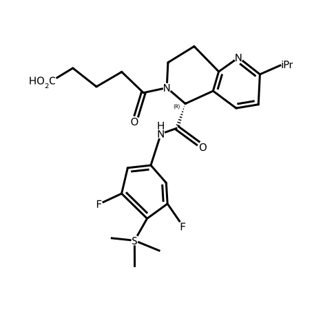 CC(C)c1ccc2c(n1)CCN(C(=O)CCCC(=O)O)[C@H]2C(=O)Nc1cc(F)c(S(C)(C)C)c(F)c1